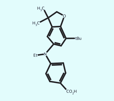 CCN(c1ccc(C(=O)O)cc1)c1cc(C(C)(C)C)c2c(c1)C(C)(C)CO2